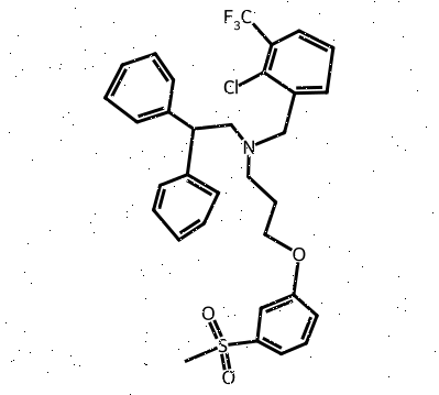 CS(=O)(=O)c1cccc(OCCCN(Cc2cccc(C(F)(F)F)c2Cl)CC(c2ccccc2)c2ccccc2)c1